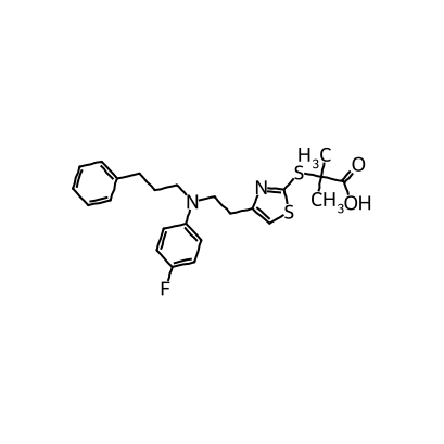 CC(C)(Sc1nc(CCN(CCCc2ccccc2)c2ccc(F)cc2)cs1)C(=O)O